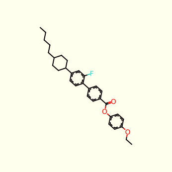 CCCCCC1CCC(c2ccc(-c3ccc(C(=O)Oc4ccc(OCC)cc4)cc3)c(F)c2)CC1